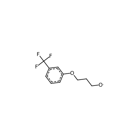 [O]CCCOc1cccc(C(F)(F)F)c1